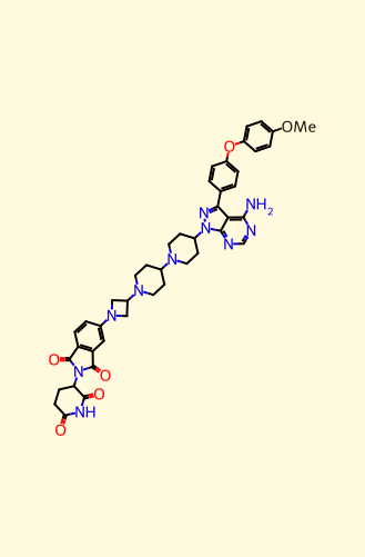 COc1ccc(Oc2ccc(-c3nn(C4CCN(C5CCN(C6CN(c7ccc8c(c7)C(=O)N(C7CCC(=O)NC7=O)C8=O)C6)CC5)CC4)c4ncnc(N)c34)cc2)cc1